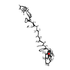 CN1C2CCC1CC(OC(=O)CCCCCCCCCCCC(=O)OC1CC3CCC(C1)N3C)C2